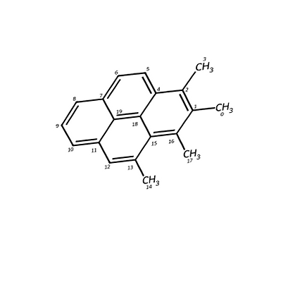 Cc1c(C)c2ccc3cccc4cc(C)c(c1C)c2c34